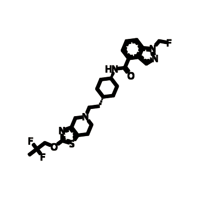 CC(F)(F)COc1nc2c(s1)CCN(CC[C@H]1CC[C@H](NC(=O)c3cccc4c3cnn4CF)CC1)C2